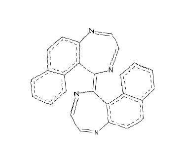 C1=NC(=C2N=CC=Nc3ccc4ccccc4c32)c2c(ccc3ccccc23)N=C1